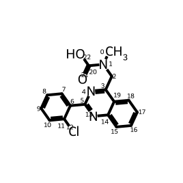 CN(Cc1nc(-c2ccccc2Cl)nc2ccccc12)C(=O)O